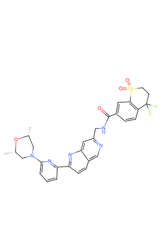 C[C@@H]1CN(c2cccc(-c3ccc4cnc(CNC(=O)c5ccc6c(c5)S(=O)(=O)CCC6(F)F)cc4n3)n2)C[C@H](C)O1